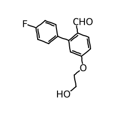 O=Cc1ccc(OCCO)cc1-c1ccc(F)cc1